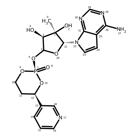 C[C@@]1(O)[C@H](O)C(O[P@]2(=O)OCC[C@H](c3cccnc3)O2)O[C@H]1n1ccc2c(N)ncnc21